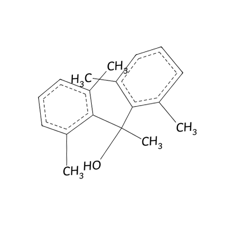 Cc1cccc(C)c1C(C)(O)c1c(C)cccc1C